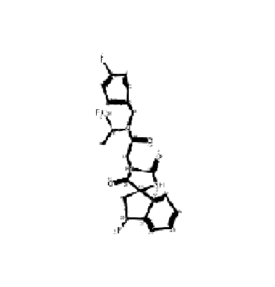 C[C@H](N(Cc1ccc(F)cc1)C(=O)CN1C(=O)N[C@@]2(C[C@H](F)c3ccccc32)C1=O)C(F)(F)F